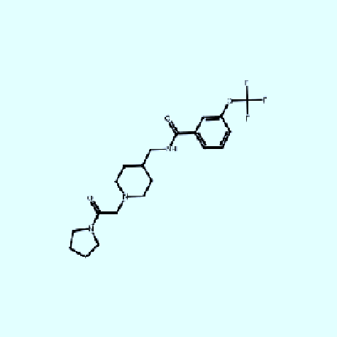 O=C(NCC1CCN(CC(=O)N2CCCC2)CC1)c1cccc(OC(F)(F)F)c1